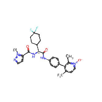 CCn1nccc1C(=O)N[C@H](C(=O)Nc1ccc(-c2c(C(F)(F)F)cc[n+]([O-])c2C)cc1)C1CCC(F)(F)CC1